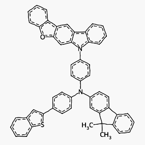 CC1(C)c2ccccc2-c2ccc(N(c3ccc(-c4cc5ccccc5s4)cc3)c3ccc(-n4c5ccccc5c5cc6c(cc54)oc4ccccc46)cc3)cc21